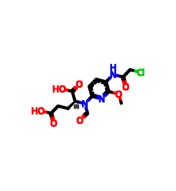 COc1nc(N(C=O)[C@@H](CCC(=O)O)C(=O)O)ccc1NC(=O)CCl